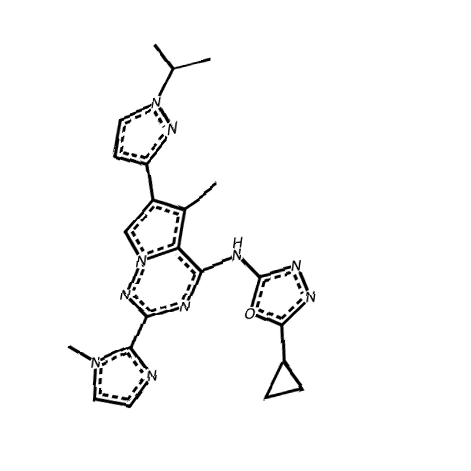 Cc1c(-c2ccn(C(C)C)n2)cn2nc(-c3nccn3C)nc(Nc3nnc(C4CC4)o3)c12